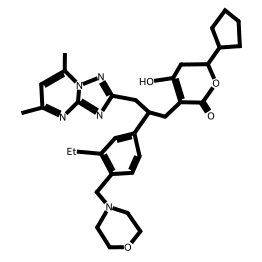 CCc1cc(C(CC2=C(O)CC(C3CCCC3)OC2=O)Cc2nc3nc(C)cc(C)n3n2)ccc1CN1CCOCC1